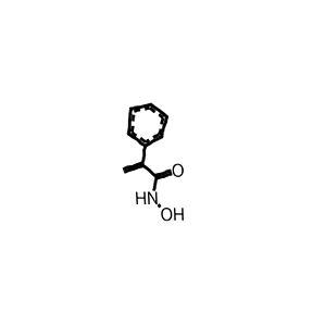 C=C(C(=O)NO)c1ccccc1